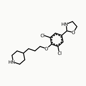 Clc1cc(C2NCCO2)cc(Cl)c1OCCCC1CCNCC1